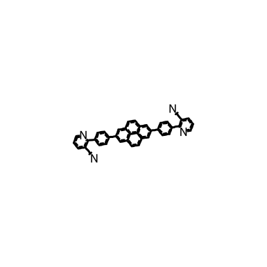 N#Cc1cccnc1-c1ccc(-c2cc3ccc4cc(-c5ccc(-c6ncccc6C#N)cc5)cc5ccc(c2)c3c45)cc1